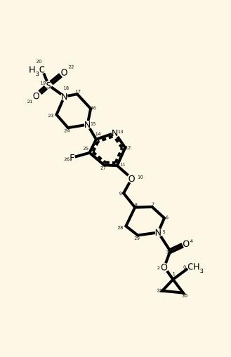 CC1(OC(=O)N2CCC(COc3cnc(N4CCN(S(C)(=O)=O)CC4)c(F)c3)CC2)CC1